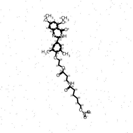 COc1cc(OC)c2c(=O)[nH]c(-c3cc(C)c(OCCOC(=O)CCNC(=O)CCCCCO[N+](=O)[O-])c(C)c3)nc2c1